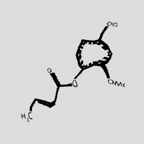 C/C=C/C(=O)Oc1ccc(C=O)cc1OC